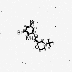 CC(C)(C)N1CCOC(=COc2cc(Br)cc(Br)c2N)C1